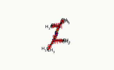 CC(C)CCOC(=O)CCCCCCC(O)CN(CCCCC(=O)OCCN1CCN(CCSSCCCCN(CC(O)CCCCC(=O)OC(C)C)CC(O)CCCCC(=O)OC(C)C)CC1)CC(O)CCCCCCC(=O)OCCC(C)C